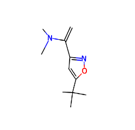 C=C(c1cc(C(C)(C)C)on1)N(C)C